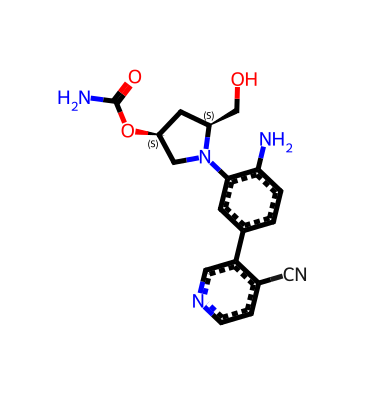 N#Cc1ccncc1-c1ccc(N)c(N2C[C@@H](OC(N)=O)C[C@H]2CO)c1